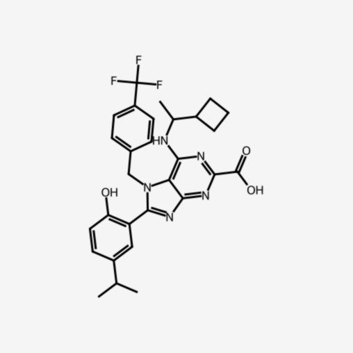 CC(C)c1ccc(O)c(-c2nc3nc(C(=O)O)nc(NC(C)C4CCC4)c3n2Cc2ccc(C(F)(F)F)cc2)c1